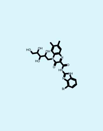 Cc1cc2nc(C(=O)Nc3nc4c(Br)cccc4[nH]3)c(=O)n(CC(O)C(O)C(O)CO)c2cc1C